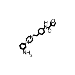 Nc1cccc(N2CCN(CCC3CCC(NC(=O)C4=COCC4)CC3)CC2)c1